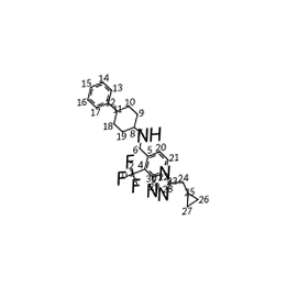 FC(F)(F)c1c(CNC2CCC(c3ccccc3)CC2)ccn2c(CC3CC3)nnc12